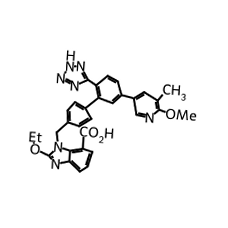 CCOc1nc2cccc(C(=O)O)c2n1Cc1ccc(-c2cc(-c3cnc(OC)c(C)c3)ccc2-c2nn[nH]n2)cc1